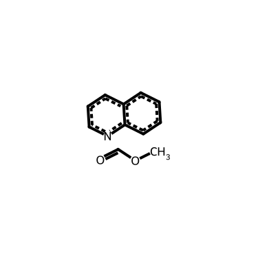 COC=O.c1ccc2ncccc2c1